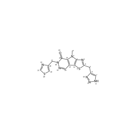 Cn1c2nc(Cc3c[nH]nn3)sc2c2cnn(Cc3cscn3)c(=O)c21